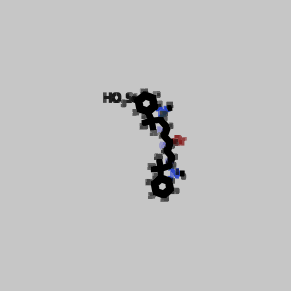 CN1/C(=C/C=C(Br)/C=C/C2N(C)c3ccc(S(=O)(=O)O)cc3C2(C)C)C(C)(C)c2ccccc21